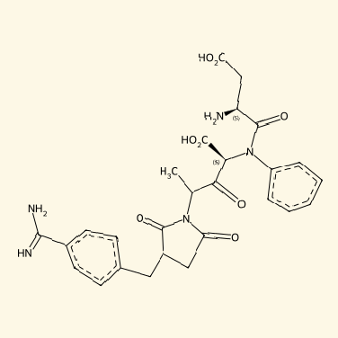 CC(C(=O)[C@@H](C(=O)O)N(C(=O)[C@@H](N)CC(=O)O)c1ccccc1)N1C(=O)CC(Cc2ccc(C(=N)N)cc2)C1=O